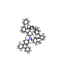 CC1(C)c2ccc(N(c3ccc(-c4ccccc4-c4ccccc4)cc3)c3ccc4sc5cccc(-c6ccccc6)c5c4c3)cc2-c2cccc(-c3ccccc3)c21